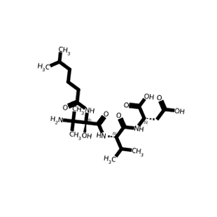 CC(C)CCCC(=O)N[C@](O)(C(=O)N[C@H](C(=O)N[C@@H](CC(=O)O)C(=O)O)C(C)C)C(C)(C)N